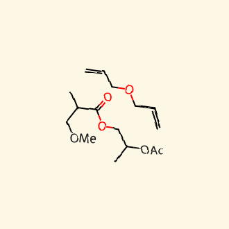 C=CCOCC=C.COCC(C)C(=O)OCC(C)OC(C)=O